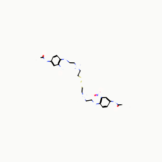 CC(=O)Nc1ccc(NCC[N+](C)(C)CCSSCC[N+](C)(C)CCNc2ccc(NC(C)=O)cc2[N+](=O)[O-])c(N=O)c1